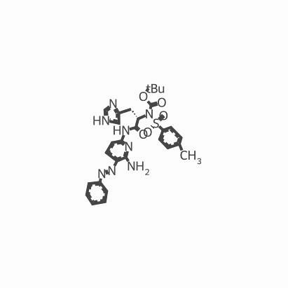 Cc1ccc(S(=O)(=O)N(C(=O)OC(C)(C)C)[C@@H](Cc2c[nH]cn2)C(=O)Nc2ccc(N=Nc3ccccc3)c(N)n2)cc1